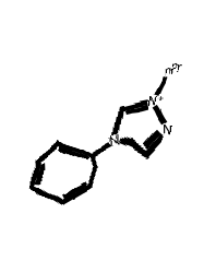 CCC[n+]1cn(-c2ccccc2)cn1